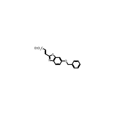 CCOC(=O)C=Cc1nc2ccc(OCc3ccccc3)cc2s1